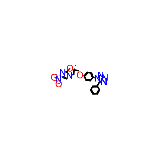 C[C@]1(COc2ccc(-n3nnnc3-c3ccccc3)cc2)Cn2cc([N+](=O)[O-])nc2O1